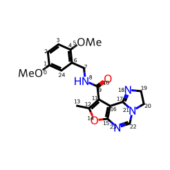 COc1ccc(OC)c(CNC(=O)c2c(C)oc3c2C2=NCCN2C=N3)c1